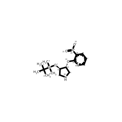 CC(C)(C)[Si](C)(C)O[C@@H]1CNC[C@H]1Oc1ncccc1[N+](=O)[O-]